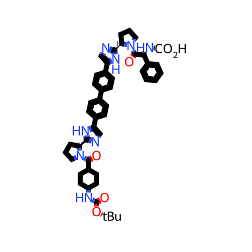 CC(C)(C)OC(=O)NC1CCC(C(=O)N2CCC[C@H]2c2ncc(-c3ccc(-c4ccc(-c5cnc([C@@H]6CCCN6C(=O)[C@H](NC(=O)O)c6ccccc6)[nH]5)cc4)cc3)[nH]2)CC1